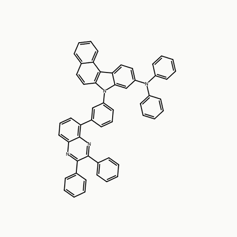 c1ccc(-c2nc3cccc(-c4cccc(-n5c6cc(N(c7ccccc7)c7ccccc7)ccc6c6c7ccccc7ccc65)c4)c3nc2-c2ccccc2)cc1